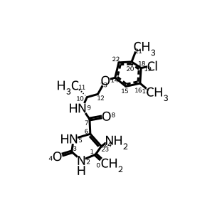 C=C1NC(=O)NC(C(=O)N[C@H](C)COc2cc(C)c(Cl)c(C)c2)=C1N